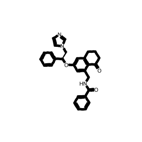 O=C(NCc1cc(O[C@H](Cn2ccnc2)c2ccccc2)cc2c1C(=O)CCC2)c1ccccc1